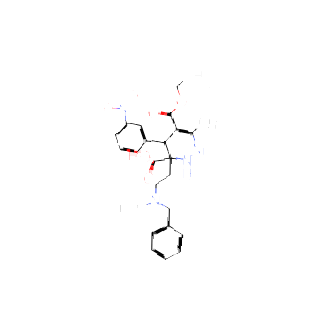 CCOC(=O)C1=C(C)NNC(CCN(C)Cc2ccccc2)(C(=O)O)C1c1cccc([N+](=O)[O-])c1